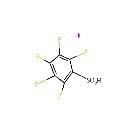 I.O=S(=O)(O)c1c(F)c(F)c(F)c(F)c1F